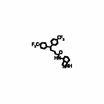 O=C(C=CC=C(c1ccc(C(F)(F)F)cc1)c1ccc(C(F)(F)F)cc1)Nc1cccc2[nH]ncc12